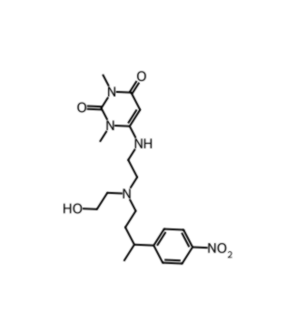 CC(CCN(CCO)CCNc1cc(=O)n(C)c(=O)n1C)c1ccc([N+](=O)[O-])cc1